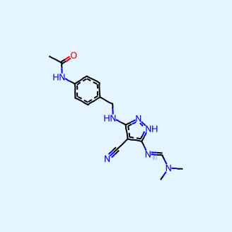 CC(=O)Nc1ccc(CNc2n[nH]c(/N=C/N(C)C)c2C#N)cc1